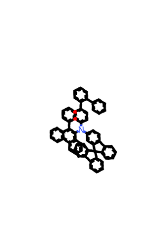 c1ccc(-c2ccccc2-c2ccc(N(c3ccc4c(c3)C3(c5ccccc5-c5ccccc53)c3ccccc3-4)c3c(-c4ccccc4)c4ccccc4c4ccccc34)cc2)cc1